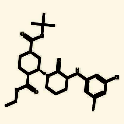 CCOC(=O)[C@H]1CCN(C(=O)OC(C)(C)C)C[C@@H]1N1CCCC(Nc2cc(F)cc(Cl)c2)C1=O